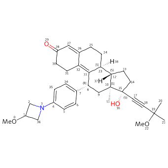 COC1CN(c2ccc([C@H]3C[C@@]4(C)[C@@H](CC[C@@]4(O)C#CC(C)(C)OC)[C@@H]4CCC5=CC(=O)CCC5=C43)cc2)C1